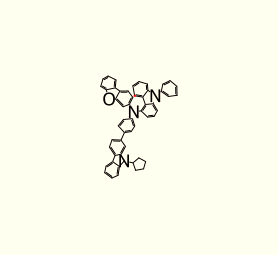 c1ccc(-n2c3ccccc3c3c(N(c4ccc(-c5ccc6c7ccccc7n(C7CCCC7)c6c5)cc4)c4ccc5c(c4)oc4ccccc45)cccc32)cc1